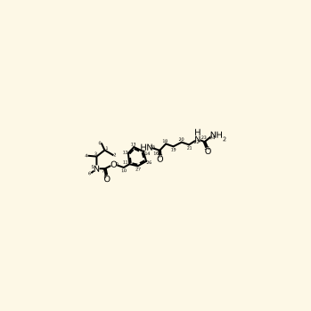 CC(C)C(C)N(C)C(=O)OCc1ccc(NC(=O)CCCCNC(N)=O)cc1